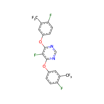 Fc1ccc(Oc2ncnc(Oc3ccc(F)c(C(F)(F)F)c3)c2F)cc1C(F)(F)F